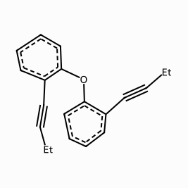 CCC#Cc1ccccc1Oc1ccccc1C#CCC